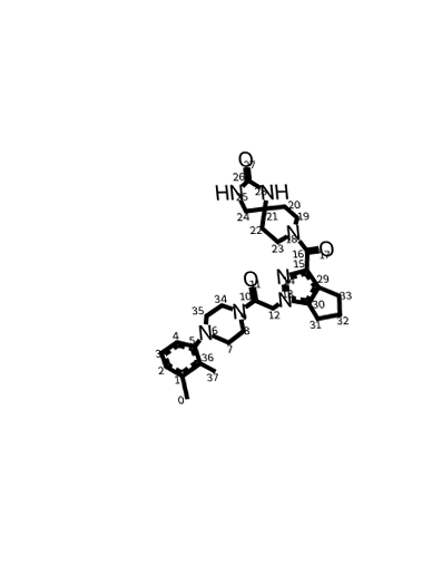 Cc1cccc(N2CCN(C(=O)Cn3nc(C(=O)N4CCC5(CC4)CNC(=O)N5)c4c3CCC4)CC2)c1C